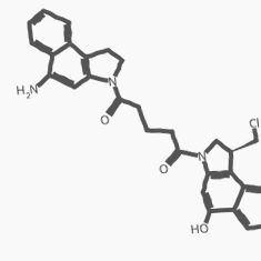 Nc1cc2c(c3ccccc13)CCN2C(=O)CCCC(=O)N1C[C@@H](CCl)c2c1cc(O)c1ccccc21